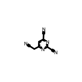 N#CCc1cc(C#N)nc(C#N)n1